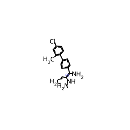 C=C/C(NN)=C(/N)c1ccc(-c2ccc(Cl)cc2C)cc1